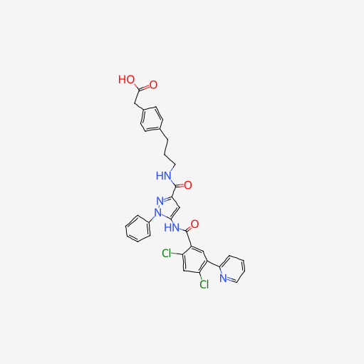 O=C(O)Cc1ccc(CCCNC(=O)c2cc(NC(=O)c3cc(-c4ccccn4)c(Cl)cc3Cl)n(-c3ccccc3)n2)cc1